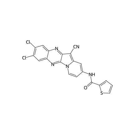 N#Cc1c2nc3cc(Cl)c(Cl)cc3nc2n2ccc(NC(=O)c3cccs3)cc12